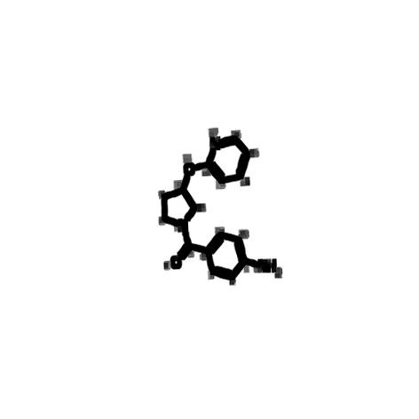 Nc1ccc(C(=O)N2CCC(Oc3ccccn3)C2)cc1